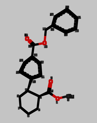 CC(C)(C)OC(=O)[C@H]1CCCC[C@H]1c1ccc(C(=O)OCc2ccccc2)cc1